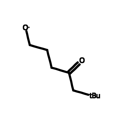 CC(C)(C)CC(=O)CCC[O]